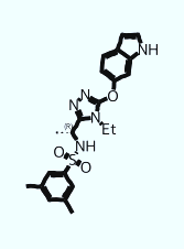 CCn1c(Oc2ccc3cc[nH]c3c2)nnc1[C@@H](C)NS(=O)(=O)c1cc(C)cc(C)c1